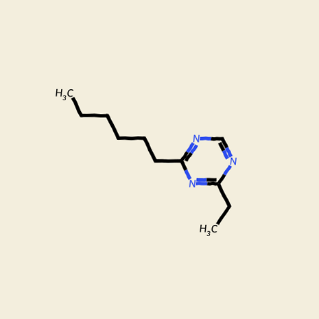 CCCCCCc1ncnc(CC)n1